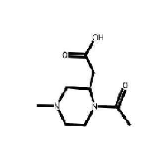 CC(=O)N1CCN(C)C[C@H]1CC(=O)O